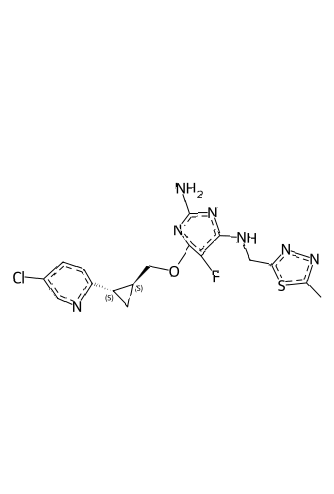 Cc1nnc(CNc2nc(N)nc(OC[C@H]3C[C@@H]3c3ccc(Cl)cn3)c2F)s1